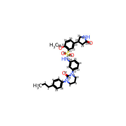 CCCc1ccc(N2CCCN(c3cccc(NS(=O)(=O)c4cc(C5CNC(=O)C5)ccc4OC)c3)C2=O)cc1